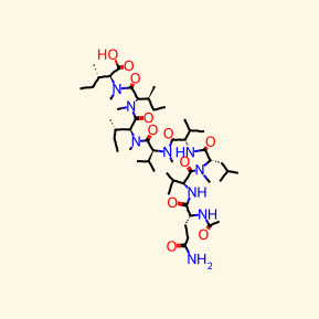 CC[C@H](C)[C@@H](C(=O)N(C)[C@H](C(=O)N(C)[C@H](C(=O)O)[C@@H](C)CC)[C@@H](C)CC)N(C)C(=O)[C@H](C(C)C)N(C)C(=O)[C@@H](NC(=O)[C@H](CC(C)C)N(C)C(=O)[C@@H](NC(=O)[C@@H](CCC(N)=O)NC(C)=O)C(C)C)C(C)C